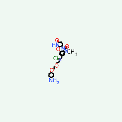 Cn1c(=O)n(C2CCC(=O)NC2=O)c2ccc(/C=C(\Cl)CCOCCO[C@H]3CC[C@H](N)CC3)cc21